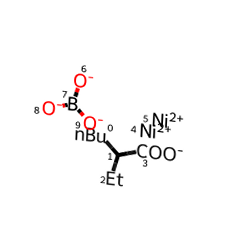 CCCCC(CC)C(=O)[O-].[Ni+2].[Ni+2].[O-]B([O-])[O-]